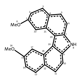 COc1ccc2ccc3[nH]c4ccc5ccc(OC)cc5c4c3c2c1